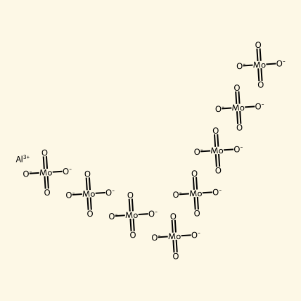 [Al+3].[O]=[Mo](=[O])([O-])[O-].[O]=[Mo](=[O])([O-])[O-].[O]=[Mo](=[O])([O-])[O-].[O]=[Mo](=[O])([O-])[O-].[O]=[Mo](=[O])([O-])[O-].[O]=[Mo](=[O])([O-])[O-].[O]=[Mo](=[O])([O-])[O-].[O]=[Mo](=[O])([O-])[O-]